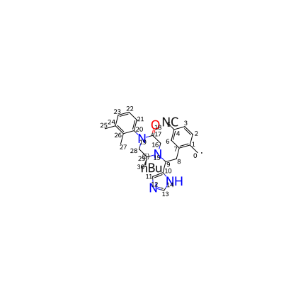 [CH2]c1ccc(C#N)cc1CC(c1cnc[nH]1)N1CC(=O)N(c2cccc(C)c2C)C[C@@H]1CCCC